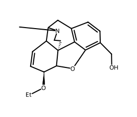 CCO[C@H]1C=CC2C3Cc4ccc(CO)c5c4[C@@]2(CCN3C)C1O5